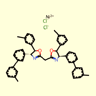 Cc1cccc(-c2cccc([C@H]3N=C(CC4=N[C@H](c5cccc(-c6cccc(C)c6)c5)C(c5cccc(C)c5)O4)OC3c3cccc(C)c3)c2)c1.[Cl-].[Cl-].[Ni+2]